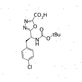 CC(C)(C)OC(=O)N[C@@H](Cc1ccc(Cl)cc1)c1nnc(C(=O)O)o1